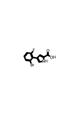 O=C(O)c1cc(-c2c(F)cccc2Br)c[nH]1